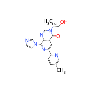 Cc1ccc(-c2cc3c(=O)n([C@@H](C)CO)cnc3c(-n3ccnc3)n2)nc1